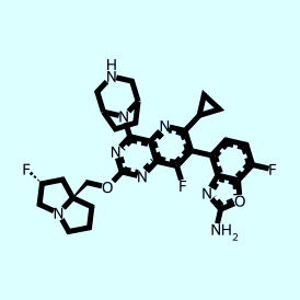 Nc1nc2c(-c3c(C4CC4)nc4c(N5C6CCC5CNC6)nc(OC[C@@]56CCCN5C[C@H](F)C6)nc4c3F)ccc(F)c2o1